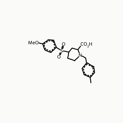 COc1ccc(S(=O)(=O)C2CCN(Cc3ccc(C)cc3)C(C(=O)O)C2)cc1